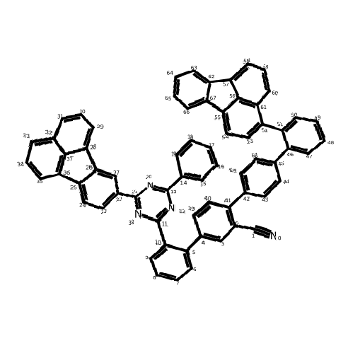 N#Cc1cc(-c2ccccc2-c2nc(-c3ccccc3)nc(-c3ccc4c(c3)-c3cccc5cccc-4c35)n2)ccc1-c1ccc(-c2ccccc2-c2ccc3c4c(cccc24)-c2ccccc2-3)cc1